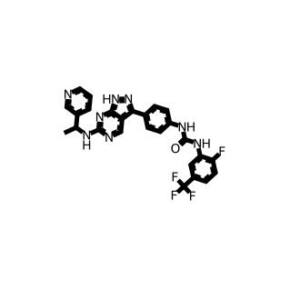 CC(Nc1ncc2c(-c3ccc(NC(=O)Nc4cc(C(F)(F)F)ccc4F)cc3)n[nH]c2n1)c1cccnc1